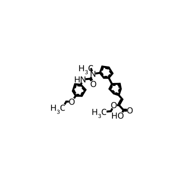 CCOC(=Cc1ccc(-c2cccc(N(C)C(=O)Nc3ccc(OCC)cc3)c2)cc1)C(=O)O